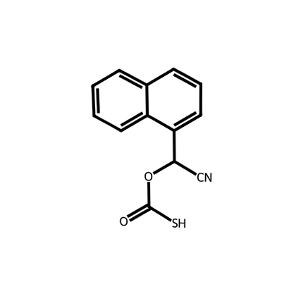 N#CC(OC(=O)S)c1cccc2ccccc12